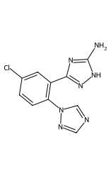 Nc1nc(-c2cc(Cl)ccc2-n2cncn2)n[nH]1